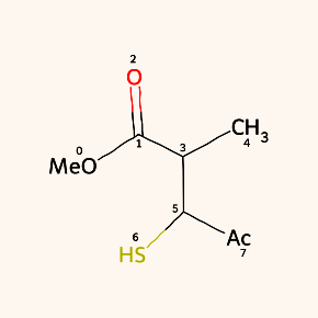 COC(=O)C(C)C(S)C(C)=O